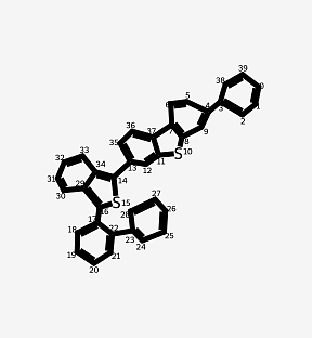 c1ccc(-c2ccc3c(c2)sc2cc(-c4sc(-c5ccccc5-c5ccccc5)c5ccccc45)ccc23)cc1